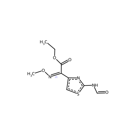 CCOC(=O)/C(=N\OC)c1csc(NC=O)n1